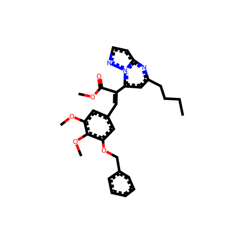 CCCCc1cc(C(=Cc2cc(OC)c(OC)c(OCc3ccccc3)c2)C(=O)OC)n2nccc2n1